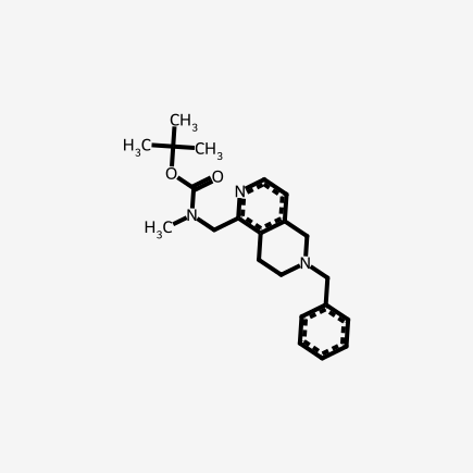 CN(Cc1nccc2c1CCN(Cc1ccccc1)C2)C(=O)OC(C)(C)C